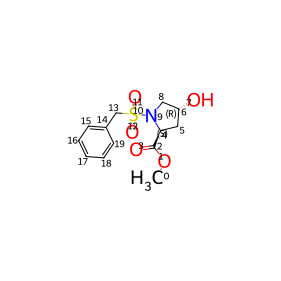 COC(=O)[C@@H]1C[C@@H](O)CN1S(=O)(=O)Cc1ccccc1